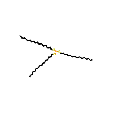 CCCCCCCCCCCCCCCCSP(SCCCCCCCCCCCCCCCC)SCCCCCCCCCCCCCCCC